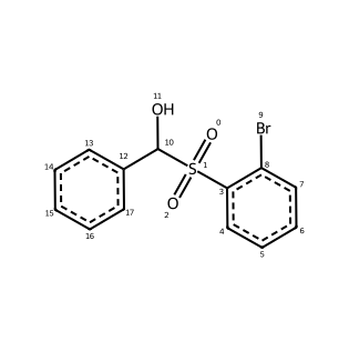 O=S(=O)(c1ccccc1Br)C(O)c1ccccc1